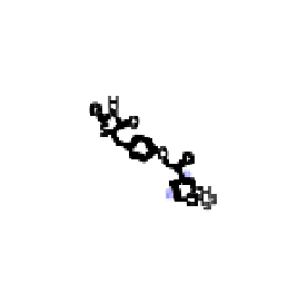 C/C=C\C(=C/C)C(=O)COc1ccc(CC2SC(=O)NC2=O)cc1